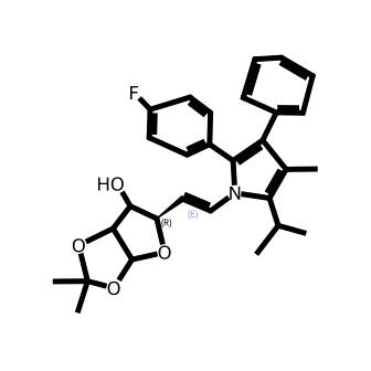 Cc1c(-c2ccccc2)c(-c2ccc(F)cc2)n(/C=C/[C@H]2OC3OC(C)(C)OC3C2O)c1C(C)C